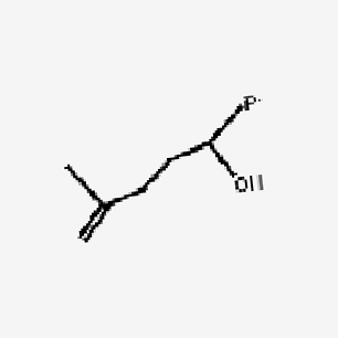 C=C(C)CCC(O)C(C)C